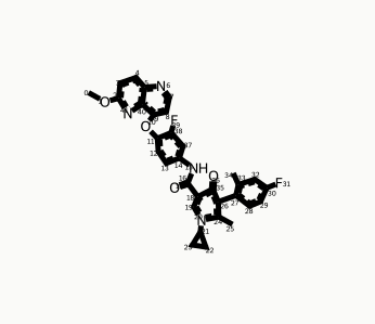 COc1ccc2nccc(Oc3ccc(NC(=O)c4cn(C5CC5)c(C)c(-c5ccc(F)cc5C)c4=O)cc3F)c2n1